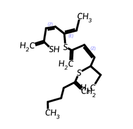 C=C(S)/C=C\C(=C/C)SC(=C)/C=C\C(CC)SC(=C)CCCC